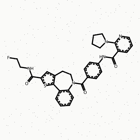 O=C(NCCF)c1cc2c(s1)-c1ccccc1N(C(=O)c1ccc(NC(=O)c3cccnc3N3CCCC3)cc1)CC2